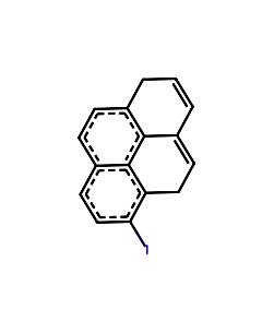 Ic1ccc2ccc3c4c2c1CC=C4C=CC3